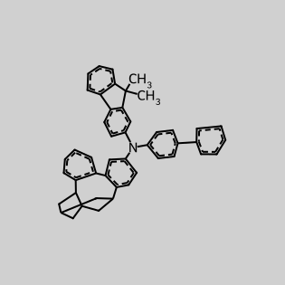 CC1(C)c2ccccc2-c2ccc(N(c3ccc(-c4ccccc4)cc3)c3ccc4c(c3)-c3ccccc3C3CC5CC4CC3C5)cc21